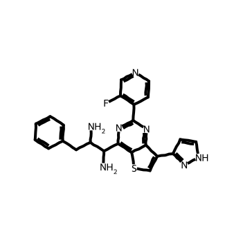 NC(Cc1ccccc1)C(N)c1nc(-c2ccncc2F)nc2c(-c3cc[nH]n3)csc12